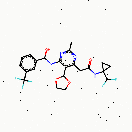 Cc1nc(CC(=O)NC2(C(F)F)CC2)c(C2OCCO2)c(NC(O)c2cccc(C(F)(F)F)c2)n1